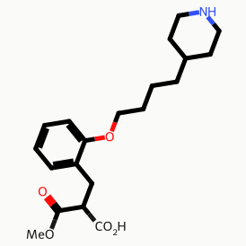 COC(=O)C(Cc1ccccc1OCCCCC1CCNCC1)C(=O)O